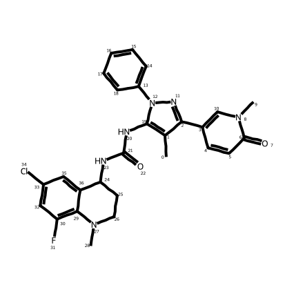 Cc1c(-c2ccc(=O)n(C)c2)nn(-c2ccccc2)c1NC(=O)NC1CCN(C)c2c(F)cc(Cl)cc21